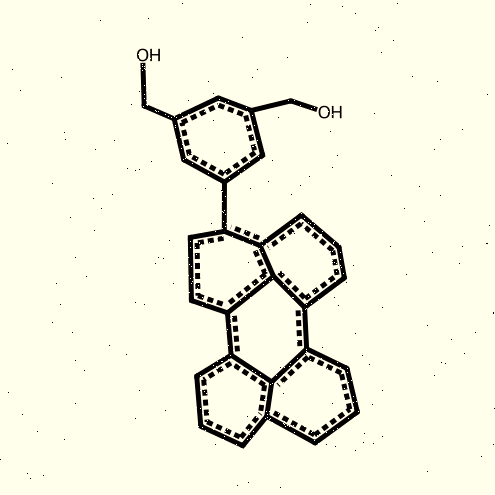 OCc1cc(CO)cc(-c2ccc3c4cccc5cccc(c6cccc2c63)c54)c1